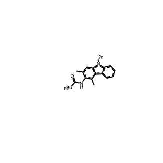 CCCCC(=O)Nc1c(C)cc2c(c1C)c1ccccc1n2C(C)C